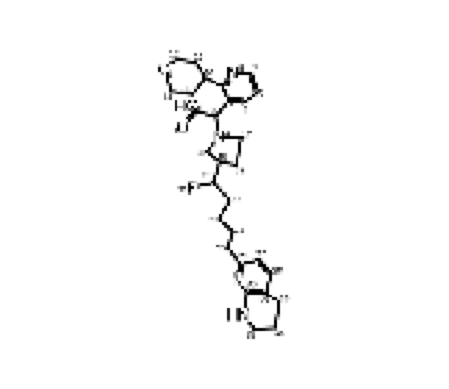 O=C(O)C(c1cccnc1C1CCOCC1)N1CCC(C(F)CCCCc2ccc3c(n2)NCCC3)C1